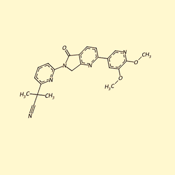 COc1cc(-c2ccc3c(n2)CN(c2cccc(C(C)(C)C#N)n2)C3=O)cnc1OC